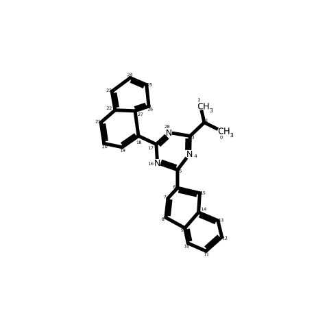 CC(C)c1nc(-c2ccc3ccccc3c2)nc(-c2cccc3ccccc23)n1